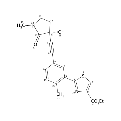 CCOC(=O)c1csc(-c2cc(C#C[C@]3(O)CCN(C)C3=O)ccc2C)n1